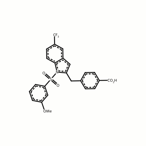 COc1cccc(S(=O)(=O)n2c(Cc3ccc(C(=O)O)cc3)cc3cc(C(F)(F)F)ccc32)c1